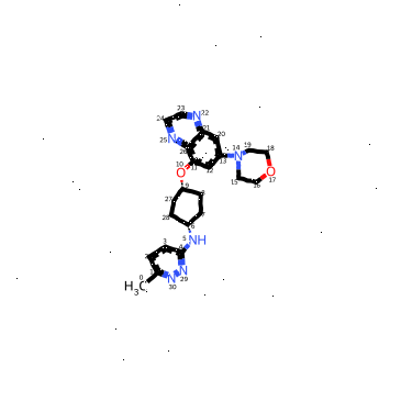 Cc1ccc(N[C@H]2CC[C@@H](Oc3cc(N4CCOCC4)cc4nccnc34)CC2)nn1